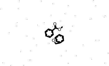 COC(=O)c1ccccc1.c1cc2cc(c1)OC2